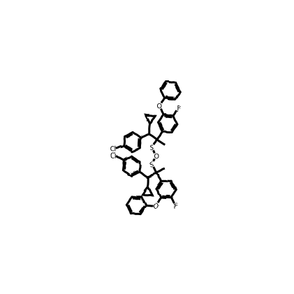 CC(SOSC(C)(c1ccc(F)c(Oc2ccccc2)c1)C(c1ccc(Cl)cc1)C1CC1)(c1ccc(F)c(Oc2ccccc2)c1)C(c1ccc(Cl)cc1)C1CC1